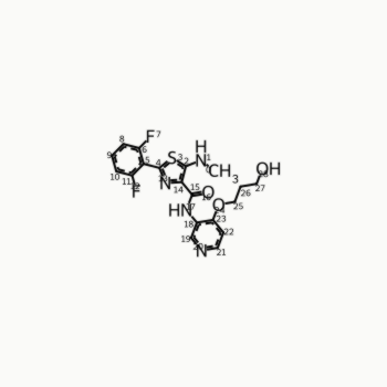 CNc1sc(-c2c(F)cccc2F)nc1C(=O)Nc1cnccc1OCCCO